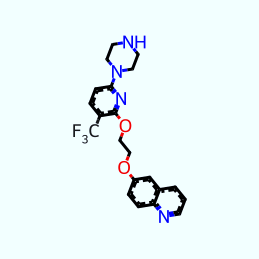 FC(F)(F)c1ccc(N2CCNCC2)nc1OCCOc1ccc2ncccc2c1